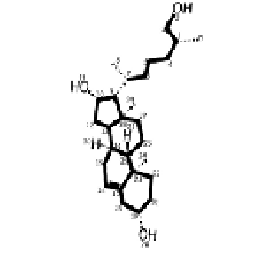 C[C@@H](CO)CCC[C@@H](C)[C@H]1[C@@H](O)CC2[C@@H]3CC=C4C[C@@H](O)CC[C@]4(C)[C@H]3CC[C@@]21C